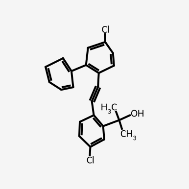 CC(C)(O)c1cc(Cl)ccc1C#Cc1ccc(Cl)cc1-c1ccccc1